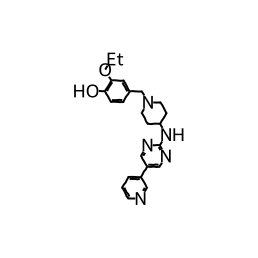 CCOc1cc(CN2CCC(Nc3ncc(-c4cccnc4)cn3)CC2)ccc1O